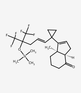 C[C@@]12CCCC(=O)[C@@H]1CC=C2C1(C=CCC(O[Si](C)(C)C)(C(F)(F)F)C(F)(F)F)CC1